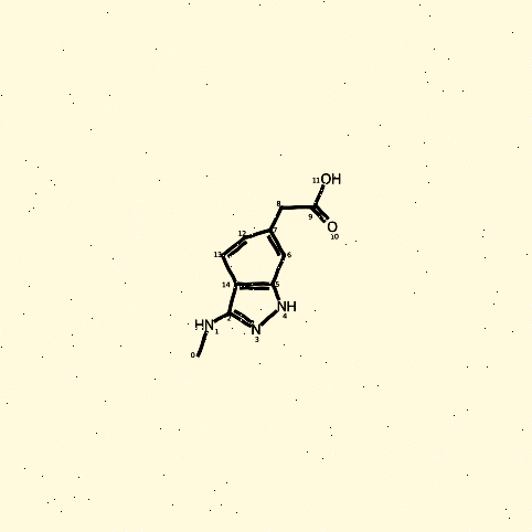 CNc1n[nH]c2cc(CC(=O)O)ccc12